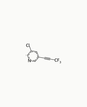 FC(F)(F)C#Cc1cn[c]c(Cl)c1